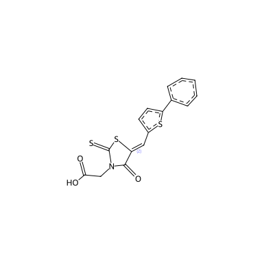 O=C(O)CN1C(=O)/C(=C/c2ccc(-c3ccccc3)s2)SC1=S